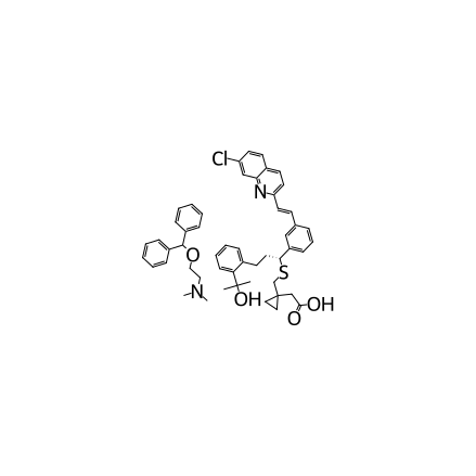 CC(C)(O)c1ccccc1CC[C@@H](SCC1(CC(=O)O)CC1)c1cccc(/C=C/c2ccc3ccc(Cl)cc3n2)c1.CN(C)CCOC(c1ccccc1)c1ccccc1